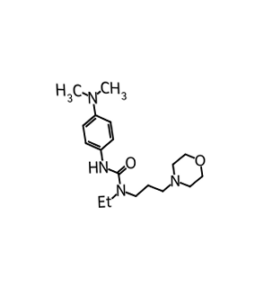 CCN(CCCN1CCOCC1)C(=O)Nc1ccc(N(C)C)cc1